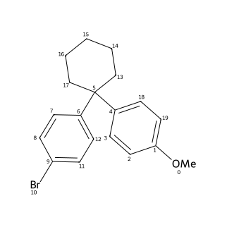 COc1ccc(C2(c3ccc(Br)cc3)CCCCC2)cc1